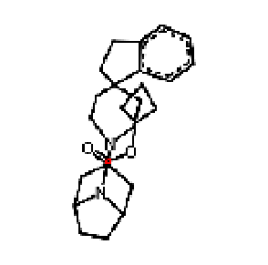 O=C(OC1CCC1)N1C2CCC1CC(N1CCC3(CCc4ccccc43)CC1)C2